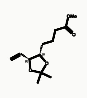 C=C[C@H]1OC(C)(C)O[C@H]1CCCC(=O)OC